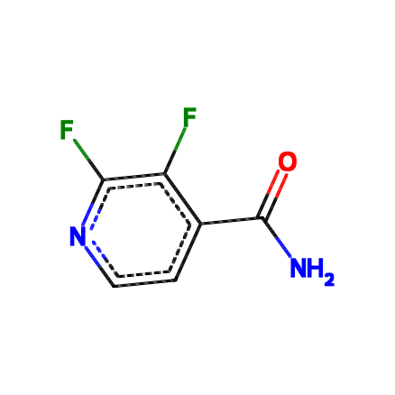 NC(=O)c1ccnc(F)c1F